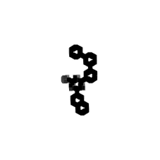 Clc1nc(-c2cccc(-c3cccc(-c4ccccc4)c3)c2)nc(-c2ccc3ccccc3c2)n1